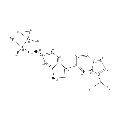 FC(F)c1cnc2ccc(-c3c[nH]c4nc(NCC5(C(F)(F)F)CC5)ncc34)nn12